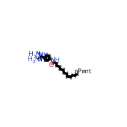 CCCCC/C=C\C/C=C\CCCCCCCC(=O)Nc1ccc(/C(=N/N)NN)cc1